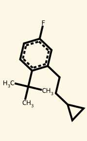 CC(C)(C)c1ccc(F)cc1CCC1CC1